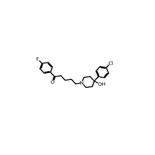 O=C(CCCCN1CCC(O)(c2ccc(Cl)cc2)CC1)c1ccc(F)cc1